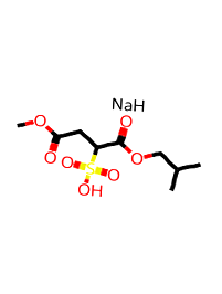 COC(=O)CC(C(=O)OCC(C)C)S(=O)(=O)O.[NaH]